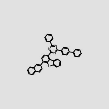 c1ccc(-c2ccc(-c3nc(-c4ccccc4)nc(-c4ccc(-c5ccc6ccccc6c5)c5oc6ccccc6c45)n3)cc2)cc1